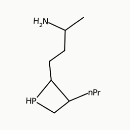 CCCC1CPC1CCC(C)N